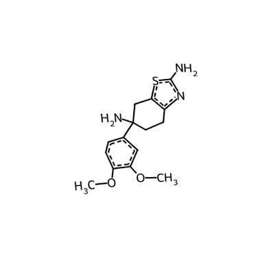 COc1ccc(C2(N)CCc3nc(N)sc3C2)cc1OC